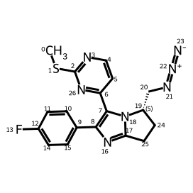 CSc1nccc(-c2c(-c3ccc(F)cc3)nc3n2[C@H](CN=[N+]=[N-])CC3)n1